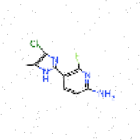 Cc1[nH]c(-c2ccc(N)nc2F)nc1Cl